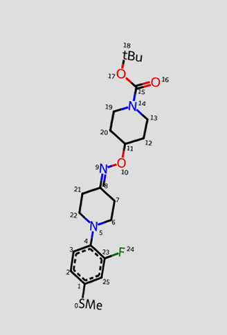 CSc1ccc(N2CCC(=NOC3CCN(C(=O)OC(C)(C)C)CC3)CC2)c(F)c1